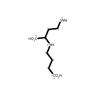 CSCCC(NCCCC(=O)O)C(=O)O